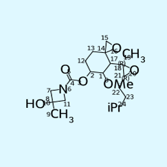 COC1C(OC(=O)N2CC(C)(O)C2)CCC2(CO2)C1[C@@]1(C)O[C@@H]1CCC(C)C